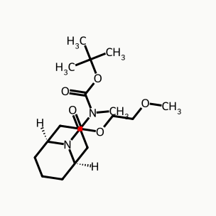 COCCOC(=O)N1[C@@H]2CCC[C@H]1CC(N(C)C(=O)OC(C)(C)C)C2